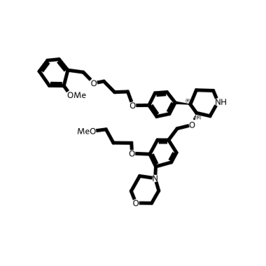 COCCCOc1cc(CO[C@H]2CNCC[C@@H]2c2ccc(OCCCOCc3ccccc3OC)cc2)ccc1N1CCOCC1